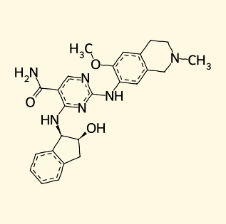 COc1cc2c(cc1Nc1ncc(C(N)=O)c(N[C@@H]3c4ccccc4C[C@@H]3O)n1)CN(C)CC2